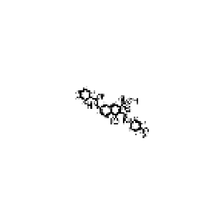 COc1ccc(N=Nc2c(S(=O)(=O)O)cc3cc(NC(=O)c4ccccc4)ccc3c2O)cc1